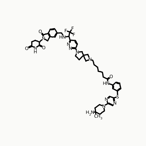 CC1(N)CCN(c2cnc(Sc3cccc(NC(=O)CCCCCCN4CC5(CCN(c6ccc(C(NCc7ccc8c(c7)CN(C7CCC(=O)NC7=O)C8=O)C(F)(F)F)nn6)C5)C4)c3)cn2)CC1